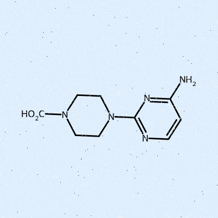 Nc1ccnc(N2CCN(C(=O)O)CC2)n1